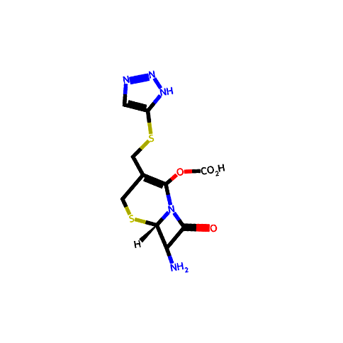 NC1C(=O)N2C(OC(=O)O)=C(CSc3cnn[nH]3)CS[C@@H]12